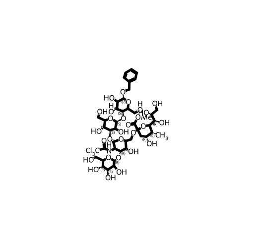 COC(=O)[C@@]1(OCC2O[C@@H](O[C@@H]3C(O)[C@H](O[C@@H]4C(CO)O[C@@H](OCc5ccccc5)C(O)[C@H]4O)OC(CO)[C@@H]3O)C(NC(=O)C(Cl)(Cl)Cl)[C@@H](O[C@@H]3OC(CO)[C@H](O)[C@H](O)C3O)[C@@H]2O)C[C@@H](O)[C@@H](C)C([C@H](O)[C@H](O)CO)O1